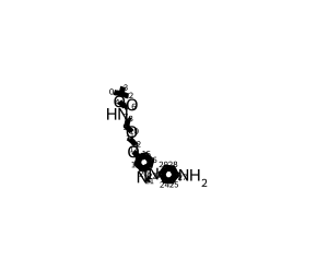 CC(C)(C)OC(=O)NCCOCCOc1ccc2c(c1)ncn2-c1ccc(N)cc1